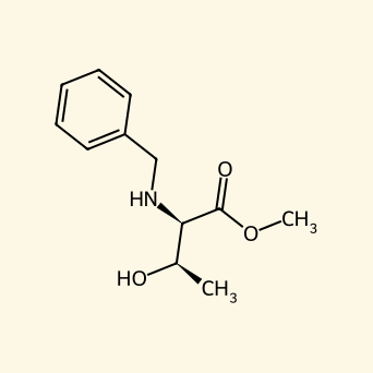 COC(=O)[C@H](NCc1ccccc1)[C@@H](C)O